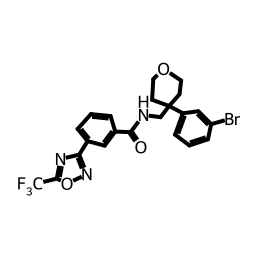 O=C(NCC1(c2cccc(Br)c2)CCOCC1)c1cccc(-c2noc(C(F)(F)F)n2)c1